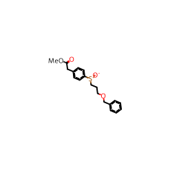 COC(=O)Cc1ccc([S+]([O-])CCCOCc2ccccc2)cc1